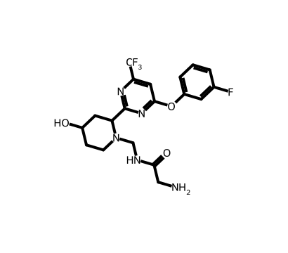 NCC(=O)NCN1CCC(O)CC1c1nc(Oc2cccc(F)c2)cc(C(F)(F)F)n1